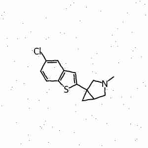 CN1CC2CC2(c2cc3cc(Cl)ccc3s2)C1